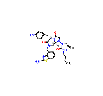 C#CCN(C(=O)NCCCC)N1CC(=O)N2[C@@H](Cc3ccc(N)cc3)C(=O)N(Cc3cccc4sc(N)nc34)C[C@@H]21